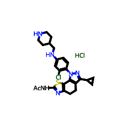 CC(=O)Nc1nc2c(s1)-c1c(c(C3CC3)nn1-c1ccc(NCC3CCNCC3)cc1Cl)CC2.Cl